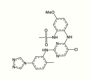 COc1ccc(Nc2nc(Nc3cc(-n4cnnc4)ccc3C)ncc2Cl)c(NS(C)(=O)=O)c1